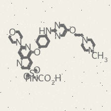 CN1CCN(CCOc2cnc(NC3CCC(Oc4nc(N5CCOCC5)cc5ncc(S(=O)(=O)NC(=O)O)cc45)CC3)nc2)CC1